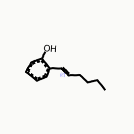 CCCC/C=C/c1ccccc1O